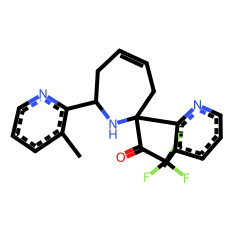 Cc1cccnc1C1CC=CCC(C(=O)C(F)(F)F)(c2ncccc2C)N1